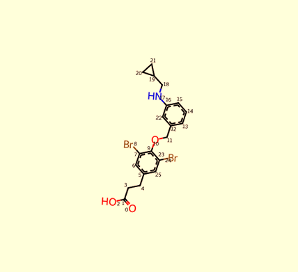 O=C(O)CCc1cc(Br)c(OCc2cccc(NCC3CC3)c2)c(Br)c1